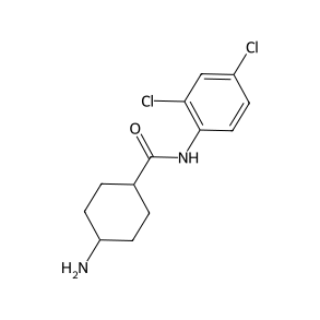 NC1CCC(C(=O)Nc2ccc(Cl)cc2Cl)CC1